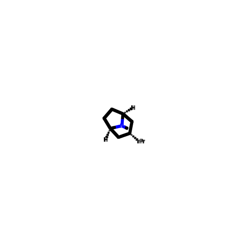 CCC[C@@H]1C[C@H]2CC[C@@H](C1)N2C